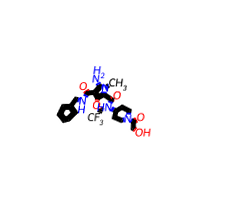 Cn1c(N)c(C(=O)NCc2ccccc2)c(OCC(F)(F)F)c1C(=O)NC1CCN(C(=O)CO)CC1